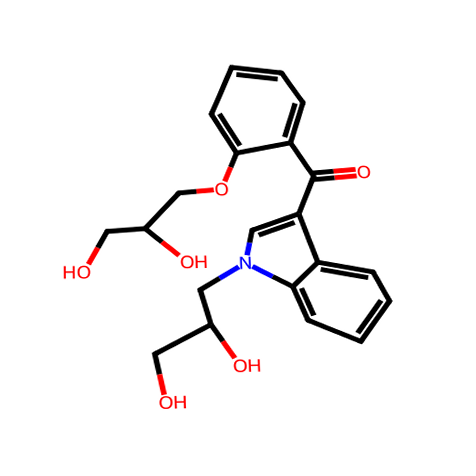 O=C(c1ccccc1OCC(O)CO)c1cn(CC(O)CO)c2ccccc12